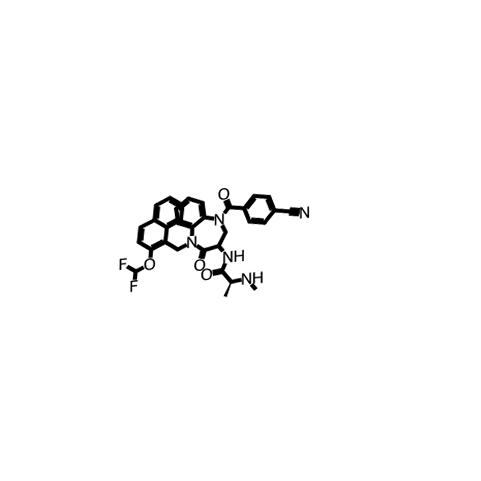 CN[C@@H](C)C(=O)NC1CN(C(=O)c2ccc(C#N)cc2)c2ccccc2N(Cc2c(OC(F)F)ccc3ccccc23)C1=O